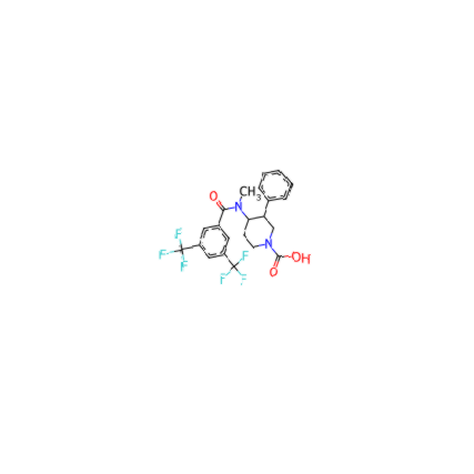 CN(C(=O)c1cc(C(F)(F)F)cc(C(F)(F)F)c1)C1CCN(C(=O)O)CC1c1ccccc1